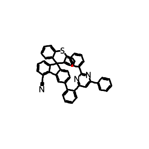 N#Cc1cccc2c1-c1cc(-c3ccccc3-c3cc(-c4ccccc4)nc(-c4ccccc4)n3)ccc1C21c2ccccc2Sc2ccccc21